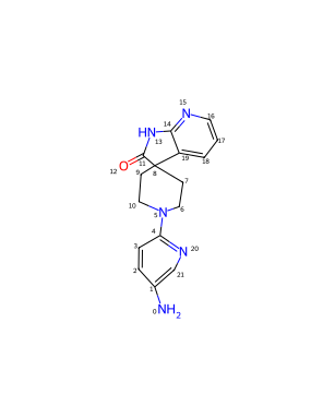 Nc1ccc(N2CCC3(CC2)C(=O)Nc2ncccc23)nc1